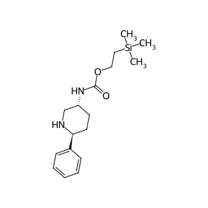 C[Si](C)(C)CCOC(=O)N[C@@H]1CC[C@@H](c2ccccc2)NC1